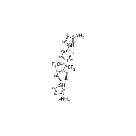 NC1=C[SH](c2ccc(C(c3ccc([SH]4C=CC(N)=C4)cc3)(C(F)(F)F)C(F)(F)F)cc2)C=C1